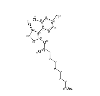 CCCCCCCCCCCCCCCCCC(=O)OC1=C(c2ccc(Cl)cc2Cl)C(=O)CC1